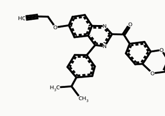 C#CCOc1ccc2nc(C(=O)c3ccc4c(c3)OC=CO4)nc(-c3ccc(C(C)C)cc3)c2c1